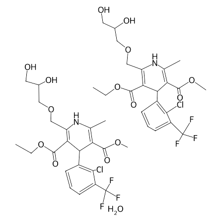 CCOC(=O)C1=C(COCC(O)CO)NC(C)=C(C(=O)OC)C1c1cccc(C(F)(F)F)c1Cl.CCOC(=O)C1=C(COCC(O)CO)NC(C)=C(C(=O)OC)C1c1cccc(C(F)(F)F)c1Cl.O